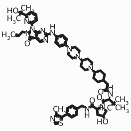 C=CCn1c(=O)c2cnc(Nc3ccc(N4CCN(C5CCN(C6CCC(CC(=O)N[C@H](C(=O)N7CC(O)CC7C(=O)NCc7ccc(-c8scnc8C)cc7)C(C)(C)C)CC6)CC5)CC4)cc3)nc2n1-c1cccc(C(C)(C)O)n1